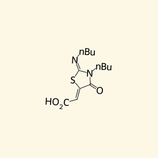 CCCCN=C1SC(=CC(=O)O)C(=O)N1CCCC